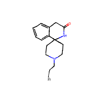 CC(C)CCN1CCC2(CC1)NC(=O)Cc1ccccc12